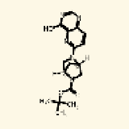 CC(C)(C)OC(=O)N1C[C@@H]2C[C@H]1CN2c1ccc2ncnc(O)c2n1